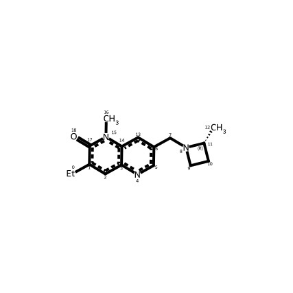 CCc1cc2ncc(CN3CC[C@H]3C)cc2n(C)c1=O